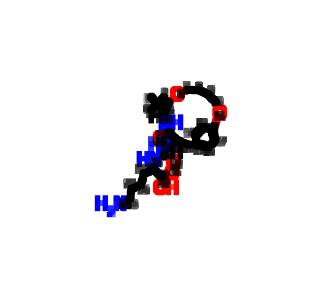 CC(C)(C)[C@H]1COCCCCOc2ccc(cc2)C[C@@H](NC(=O)NC(CCCCN)C(=O)O)C(=O)N1